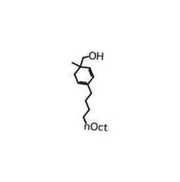 CCCCCCCCCCCCC1=CCC(C)(CO)C=C1